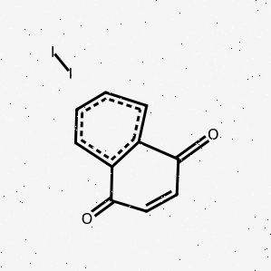 II.O=C1C=CC(=O)c2ccccc21